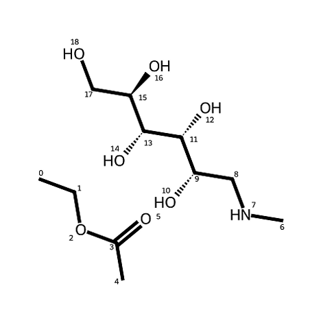 CCOC(C)=O.CNC[C@H](O)[C@@H](O)[C@H](O)[C@H](O)CO